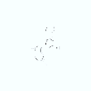 FC(F)(F)c1ccn2ncc(-c3cc(Cl)cc(C4CCCNC4)n3)c2c1